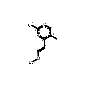 CCO/C=C/c1nc(Cl)ncc1C